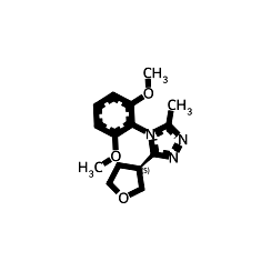 COc1cccc(OC)c1-n1c(C)nnc1[C@@H]1CCOC1